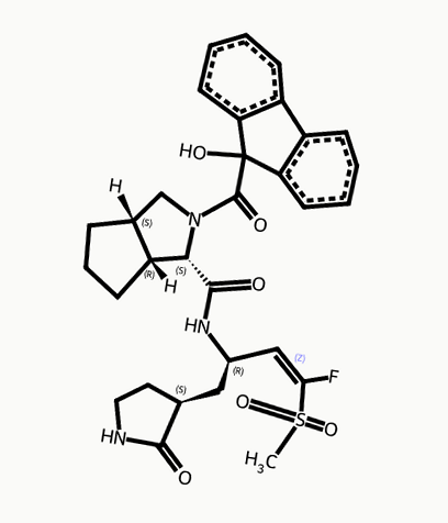 CS(=O)(=O)/C(F)=C\[C@@H](C[C@@H]1CCNC1=O)NC(=O)[C@@H]1[C@@H]2CCC[C@@H]2CN1C(=O)C1(O)c2ccccc2-c2ccccc21